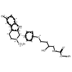 CCCOC(=O)NCC(O)CCOc1ccc([C@H]2c3[nH]c4ccc(Cl)cc4c3CCN2C(=O)OCC)cc1